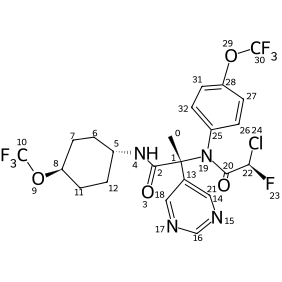 C[C@](C(=O)N[C@H]1CC[C@H](OC(F)(F)F)CC1)(c1cncnc1)N(C(=O)[C@H](F)Cl)c1ccc(OC(F)(F)F)cc1